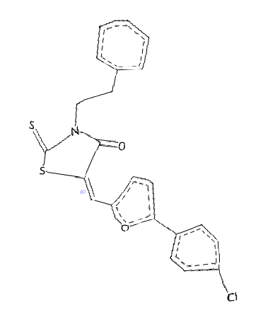 O=C1/C(=C\c2ccc(-c3ccc(Cl)cc3)o2)SC(=S)N1CCc1ccccc1